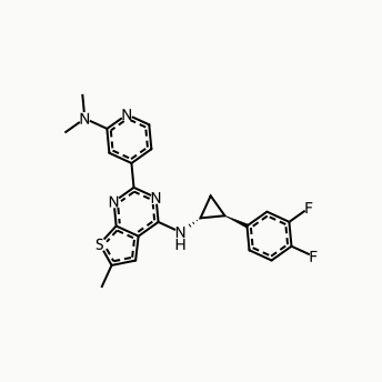 Cc1cc2c(N[C@@H]3C[C@H]3c3ccc(F)c(F)c3)nc(-c3ccnc(N(C)C)c3)nc2s1